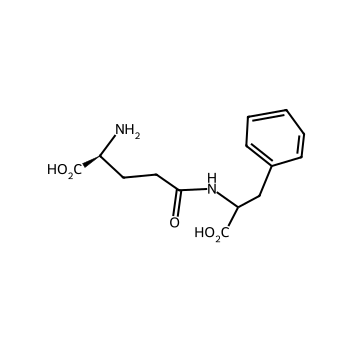 N[C@@H](CCC(=O)NC(Cc1ccccc1)C(=O)O)C(=O)O